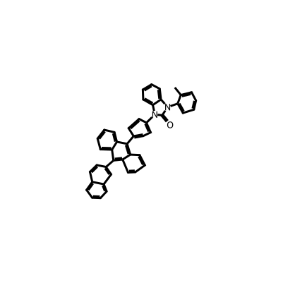 Cc1ccccc1-n1c(=O)n(-c2ccc(-c3c4ccccc4c(-c4ccc5ccccc5c4)c4ccccc34)cc2)c2ccccc21